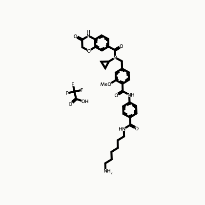 COc1cc(CN(C(=O)c2ccc3c(c2)OCC(=O)N3)C2CC2)ccc1C(=O)Nc1ccc(C(=O)NCCCCCCN)cc1.O=C(O)C(F)(F)F